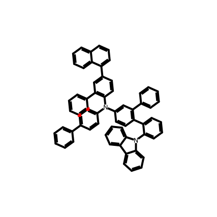 c1ccc(-c2ccc(N(c3ccc(-c4ccccc4-n4c5ccccc5c5ccccc54)c(-c4ccccc4)c3)c3ccc(-c4cccc5ccccc45)cc3-c3ccccc3)cc2)cc1